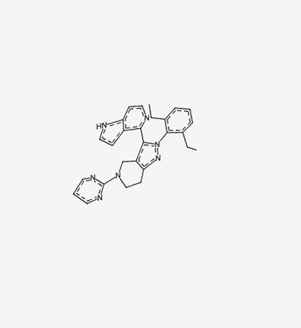 CCc1cccc(CC)c1-n1nc2c(c1-c1nccc3[nH]ccc13)CN(c1ncccn1)CC2